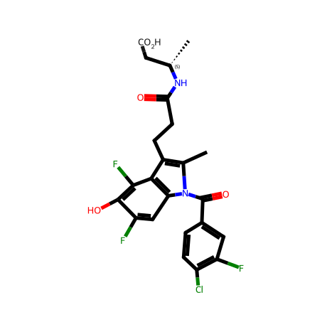 Cc1c(CCC(=O)N[C@@H](C)CC(=O)O)c2c(F)c(O)c(F)cc2n1C(=O)c1ccc(Cl)c(F)c1